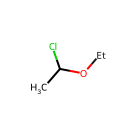 [CH2]COC(C)Cl